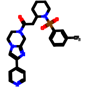 O=C(CC1CCCCN1S(=O)(=O)c1cccc(C(F)(F)F)c1)N1CCn2cc(-c3ccncc3)nc2C1